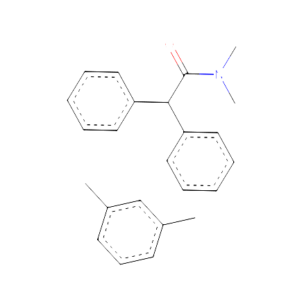 CN(C)C(=O)C(c1ccccc1)c1ccccc1.Cc1cccc(C)c1